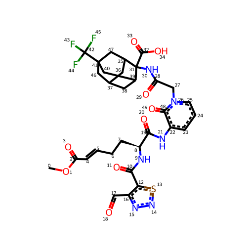 COC(=O)/C=C/CC[C@H](NC(=O)c1snnc1C=O)C(=O)Nc1cccn(CC(=O)NC2(C(=O)O)C3CC4CC2CC(C(F)(F)F)(C4)C3)c1=O